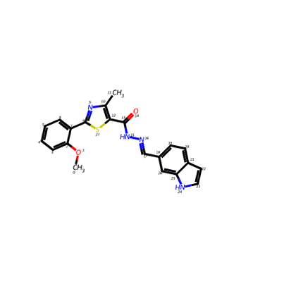 COc1ccccc1-c1nc(C)c(C(=O)N/N=C/c2ccc3cc[nH]c3c2)s1